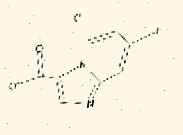 O=C([O-])c1cnc2cc(F)ccn12.[K+]